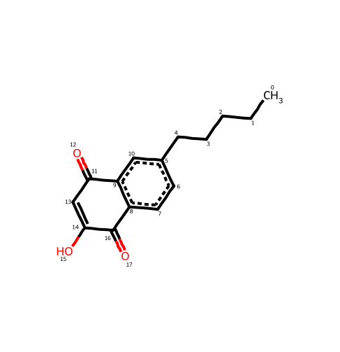 CCCCCc1ccc2c(c1)C(=O)C=C(O)C2=O